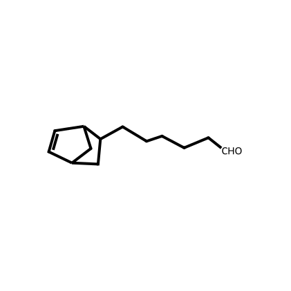 O=CCCCCCC1CC2C=CC1C2